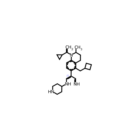 C=C(C1CC1)N1c2ccc(/C(C=N)=C/NC3CCNCC3)c(CC3CCC3)c2CCC1C